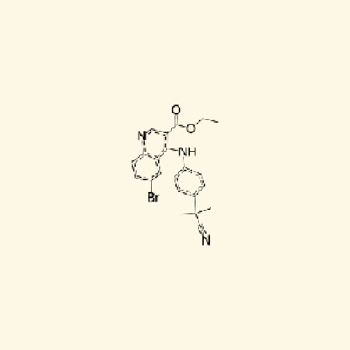 CCOC(=O)c1cnc2ccc(Br)cc2c1Nc1ccc(C(C)(C)C#N)cc1